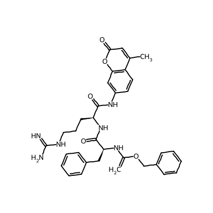 C=C(N[C@@H](Cc1ccccc1)C(=O)N[C@@H](CCCNC(=N)N)C(=O)Nc1ccc2c(C)cc(=O)oc2c1)OCc1ccccc1